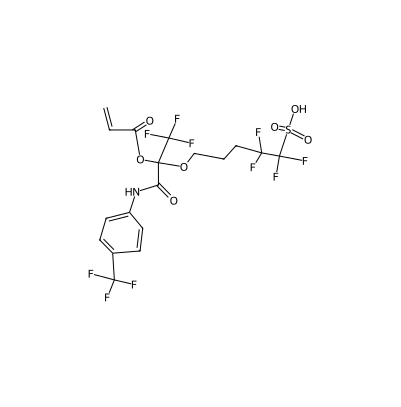 C=CC(=O)OC(OCCCC(F)(F)C(F)(F)S(=O)(=O)O)(C(=O)Nc1ccc(C(F)(F)F)cc1)C(F)(F)F